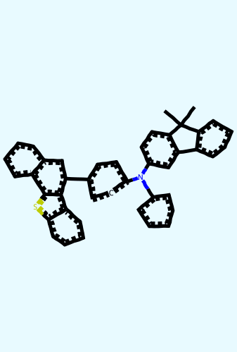 CC1(C)c2ccccc2-c2cc(N(c3ccccc3)c3ccc(-c4cc5ccccc5c5sc6ccccc6c45)cc3)ccc21